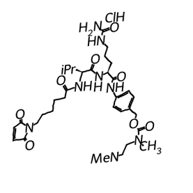 CNCCN(C)C(=O)OCc1ccc(NC(=O)[C@H](CCCNC(N)=O)NC(=O)[C@@H](NC(=O)CCCCCN2C(=O)C=CC2=O)C(C)C)cc1.Cl